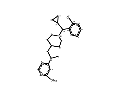 COc1nccc(N(C)CC2CCN(C(c3ccccc3Cl)C3CO3)CC2)n1